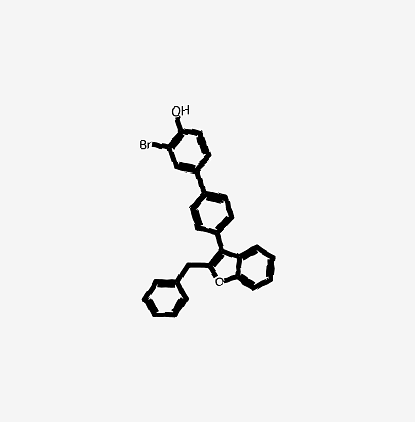 Oc1ccc(-c2ccc(-c3c(Cc4ccccc4)oc4ccccc34)cc2)cc1Br